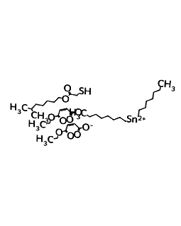 CC(C)CCCCCOC(=O)CS.CCCCCCC[CH2][Sn+2][CH2]CCCCCCC.CCOC(=O)/C=C\C(=O)[O-].CCOC(=O)/C=C\C(=O)[O-]